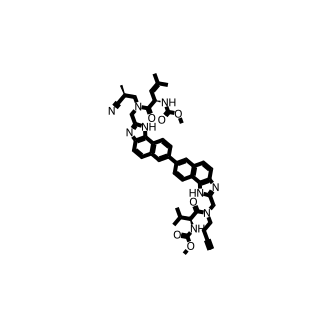 C#CCCN(Cc1nc2ccc3cc(-c4ccc5c(ccc6nc(CN(C[C@H](C)C#N)C(=O)[C@H](C=C(C)C)NC(=O)OC)[nH]c65)c4)ccc3c2[nH]1)C(=O)[C@@H](NC(=O)OC)C(C)C